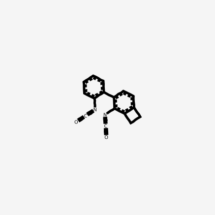 O=C=Nc1ccccc1-c1ccc2c(c1N=C=O)CC2